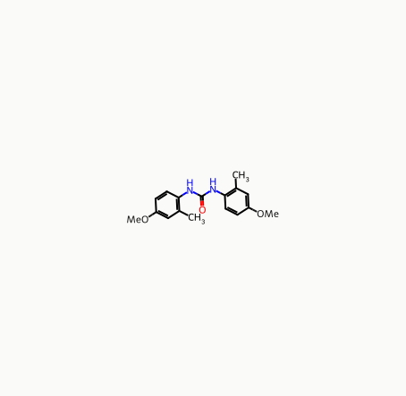 COc1ccc(NC(=O)Nc2ccc(OC)cc2C)c(C)c1